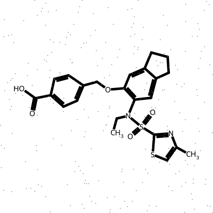 CCN(c1cc2c(cc1OCc1ccc(C(=O)O)cc1)CCC2)S(=O)(=O)c1nc(C)cs1